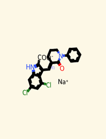 O=C([O-])c1[nH]c2cc(Cl)cc(Cl)c2c1/C=C1\CCCN(c2ccccc2)C1=O.[Na+]